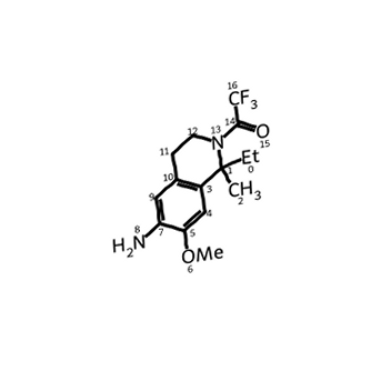 CCC1(C)c2cc(OC)c(N)cc2CCN1C(=O)C(F)(F)F